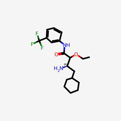 CCOC(C(=O)Nc1cccc(C(F)(F)F)c1)[C@H](N)CC1CCCCC1